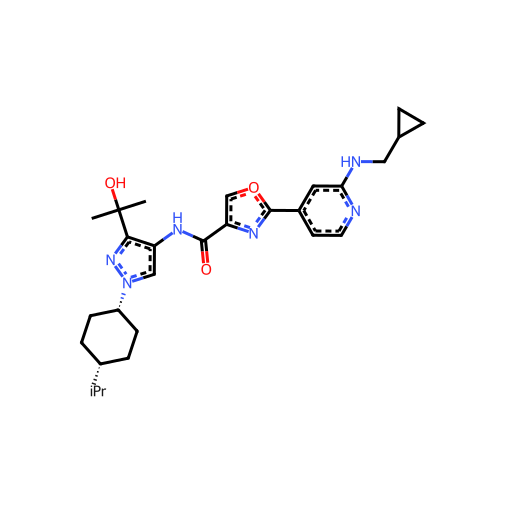 CC(C)[C@H]1CC[C@@H](n2cc(NC(=O)c3coc(-c4ccnc(NCC5CC5)c4)n3)c(C(C)(C)O)n2)CC1